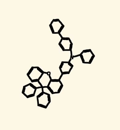 c1ccc(-c2ccc(N(c3ccccc3)c3ccc(-c4cccc5c4Oc4ccccc4C5(c4ccccc4)c4ccccc4)cc3)cc2)cc1